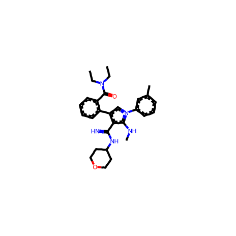 CCN(CC)C(=O)c1ccccc1-c1cn(-c2cccc(C)c2)c(NC)c1C(=N)NC1CCOCC1